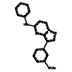 CC(=O)Nc1cccc(-c2cnn3ccc(Nc4ccccc4)nc23)c1